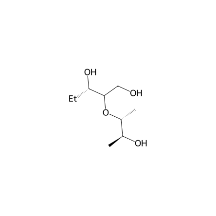 CC[C@H](O)C(CO)O[C@H](C)[C@H](C)O